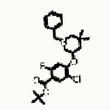 CC1(C)CC(Oc2cc(F)c(C(=O)OC(C)(C)C)cc2Cl)CN(Cc2ccccc2)C1